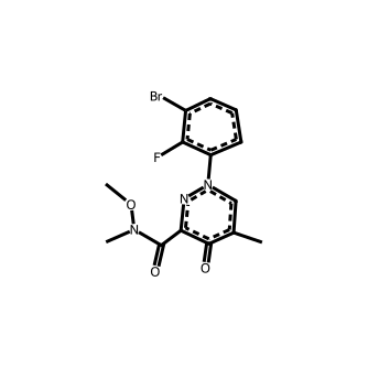 CON(C)C(=O)c1nn(-c2cccc(Br)c2F)cc(C)c1=O